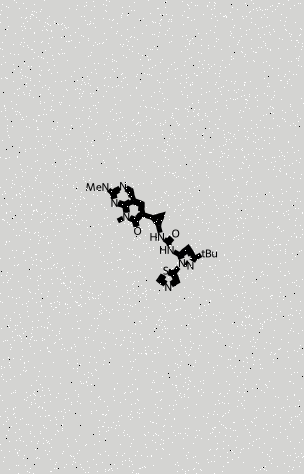 CNc1ncc2cc(C3CC3NC(=O)Nc3cc(C(C)(C)C)nn3-c3cncs3)c(=O)n(C)c2n1